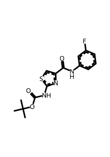 CC(C)(C)OC(=O)Nc1nc(C(=O)Nc2cccc(F)c2)cs1